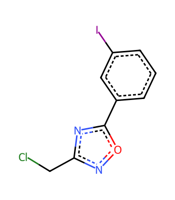 ClCc1noc(-c2cccc(I)c2)n1